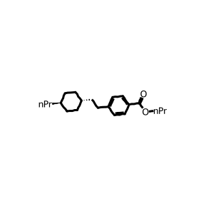 CCCOC(=O)c1ccc(CC[C@H]2CC[C@H](CCC)CC2)cc1